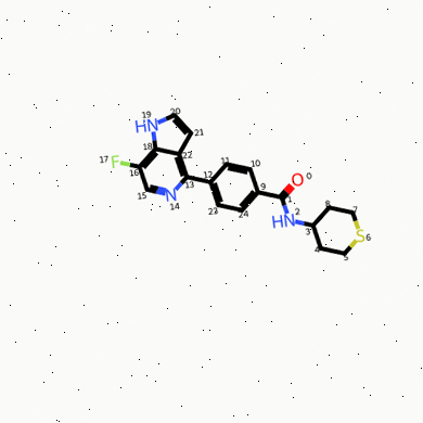 O=C(NC1CCSCC1)c1ccc(-c2ncc(F)c3[nH]ccc23)cc1